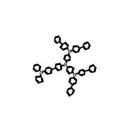 c1ccc(-c2ccc(N(c3ccc(-c4ccccc4)cc3)c3ccc(N(c4ccc(-c5ccc(N(c6ccccc6)c6ccccc6)cc5)cc4)c4ccc(N(c5ccc(-c6ccccc6)cc5)c5ccc(-c6ccccc6)cc5)cc4)cc3)cc2)cc1